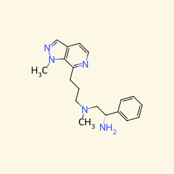 CN(CCCc1nccc2cnn(C)c12)C[C@@H](N)c1ccccc1